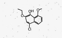 CCOc1cc(Cl)c2cccc(OC)c2c1O